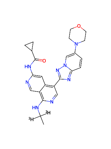 [2H]C([2H])(C)Nc1ncc(-c2nc3ccc(N4CCOCC4)cn3n2)c2cc(NC(=O)C3CC3)ncc12